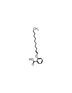 CCCCCCCCCC=COc1ccccc1C(=O)O